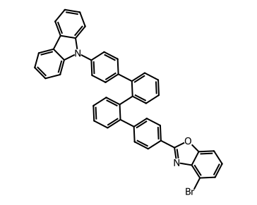 Brc1cccc2oc(-c3ccc(-c4ccccc4-c4ccccc4-c4ccc(-n5c6ccccc6c6ccccc65)cc4)cc3)nc12